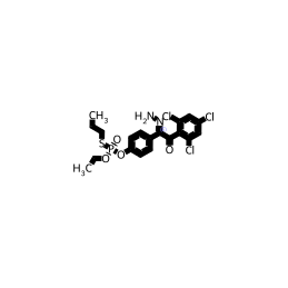 CCCSP(=O)(OCC)Oc1ccc(/C(=N\N)C(=O)c2c(Cl)cc(Cl)cc2Cl)cc1